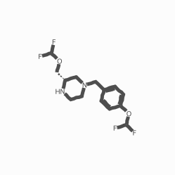 FC(F)OC[C@@H]1CN(Cc2ccc(OC(F)F)cc2)CCN1